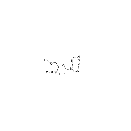 CO[C@H](F)C(COS)OC(C)n1cnc2c(C)ncnc21